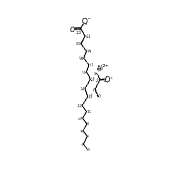 CCC(C)[O-].CCCCCCCCCCCCCCCCCC(=O)[O-].[Al+2]